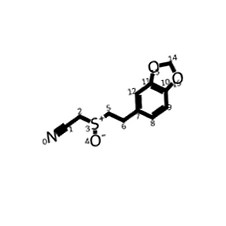 N#CC[S+]([O-])CCc1ccc2c(c1)OCO2